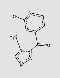 Cn1cnnc1C(=O)c1ccnc(Cl)c1